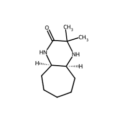 CC1(C)N[C@H]2CCCCC[C@H]2NC1=O